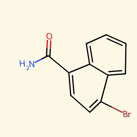 NC(=O)c1ccc(Br)c2ccccc12